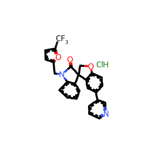 Cl.O=C1N(Cc2ccc(C(F)(F)F)o2)c2ccccc2C12COc1ccc(-c3cccnc3)cc12